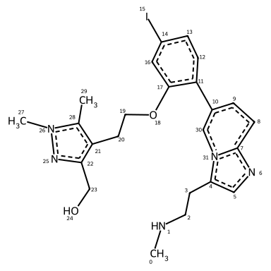 CNCCc1cnc2ccc(-c3ccc(I)cc3OCCc3c(CO)nn(C)c3C)cn12